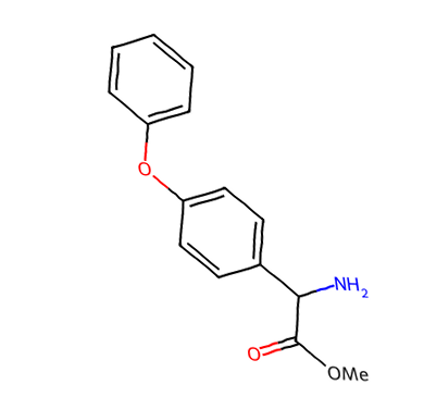 COC(=O)C(N)c1ccc(Oc2ccccc2)cc1